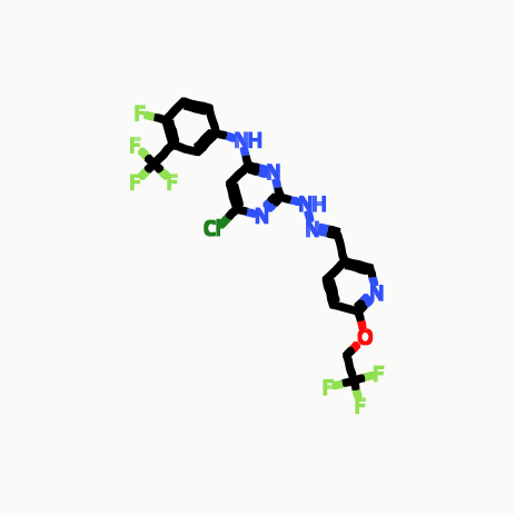 Fc1ccc(Nc2cc(Cl)nc(N/N=C/c3ccc(OCC(F)(F)F)nc3)n2)cc1C(F)(F)F